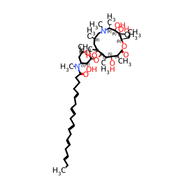 CCC=CCC=CCC=CCC=CCC=CCCCC(=O)N(C)[C@H]1C[C@@H](C)O[C@@H](O[C@@H]2[C@@H](C)[C@H](O)[C@@H](C)C(=O)O[C@H](CC)[C@@](C)(O)[C@H](O)[C@@H](C)N(C)C[C@H](C)C[C@@]2(C)O)[C@@H]1O